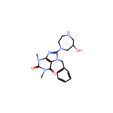 Cn1c(=O)c2c(nc(N3CCNCC(O)C3)n2Cc2ccccc2)n(C)c1=O